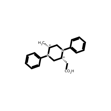 C[C@@H]1CN(c2ccccc2)[C@H](CC(=O)O)CN1c1ccccc1